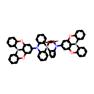 c1ccc2c(c1)Oc1cc(N3c4ccccc4[Si]4(c5ccccc53)c3ccccc3N(c3cc5c6c(c3)Oc3ccccc3B6c3ccccc3O5)c3ccccc34)cc3c1B2c1ccccc1O3